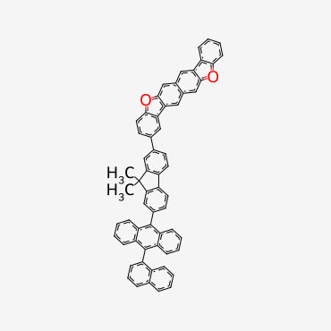 CC1(C)c2cc(-c3ccc4oc5cc6cc7c(cc6cc5c4c3)oc3ccccc37)ccc2-c2ccc(-c3c4ccccc4c(-c4cccc5ccccc45)c4ccccc34)cc21